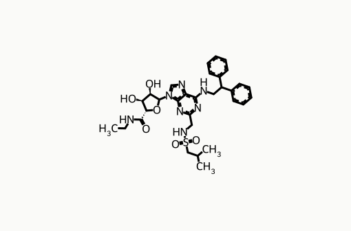 CCNC(=O)[C@H]1OC(n2cnc3c(NCC(c4ccccc4)c4ccccc4)nc(CNS(=O)(=O)CC(C)C)nc32)[C@H](O)[C@@H]1O